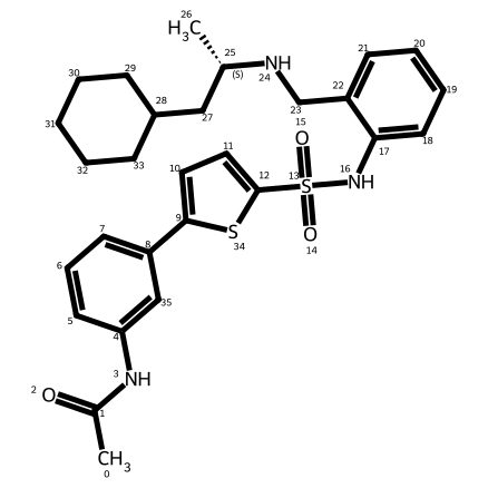 CC(=O)Nc1cccc(-c2ccc(S(=O)(=O)Nc3ccccc3CN[C@@H](C)CC3CCCCC3)s2)c1